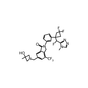 Cn1cnnc1C(F)C1(c2cccc(N3Cc4c(cc(CN5CC(C)(O)C5)cc4C(F)(F)F)C3=O)c2)CC(F)(F)C1